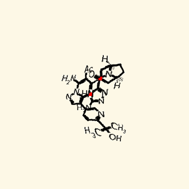 CC(=O)c1c([C@H]2C[C@H]3CC[C@@H](C2)N3C(=O)c2nnc(N)[nH]2)nc2c(-c3ccc(C(C)(C)O)nc3)cnn2c1N